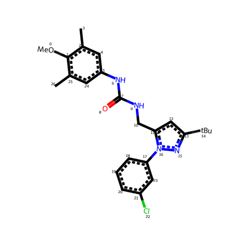 COc1c(C)cc(NC(=O)NCc2cc(C(C)(C)C)nn2-c2cccc(Cl)c2)cc1C